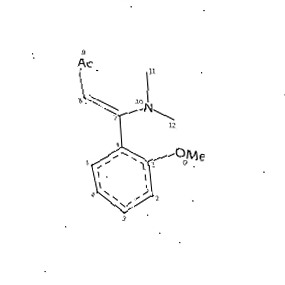 COc1ccccc1C(=CC(C)=O)N(C)C